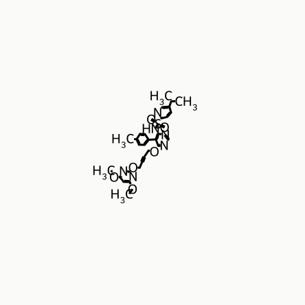 COc1cc(OC)nc(OCC#CCOc2ncnc(NS(=O)(=O)c3ccc(C(C)C)cn3)c2-c2ccc(C)cc2)n1